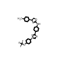 Cc1ccc(C2COC(Nc3ccc(-c4ncn(-c5ccc(OC(F)(F)F)cc5)n4)cc3)=N2)cc1